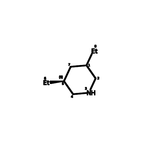 CCC1CNC[C@@H](CC)C1